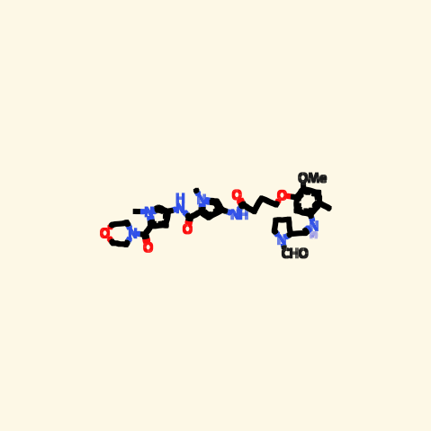 COc1cc(C)c(/N=C\C2CCCN2C=O)cc1OCCCC(=O)Nc1cc(C(=O)Nc2cc(C(=O)N3CCOCC3)n(C)c2)n(C)c1